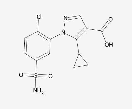 NS(=O)(=O)c1ccc(Cl)c(-n2ncc(C(=O)O)c2C2CC2)c1